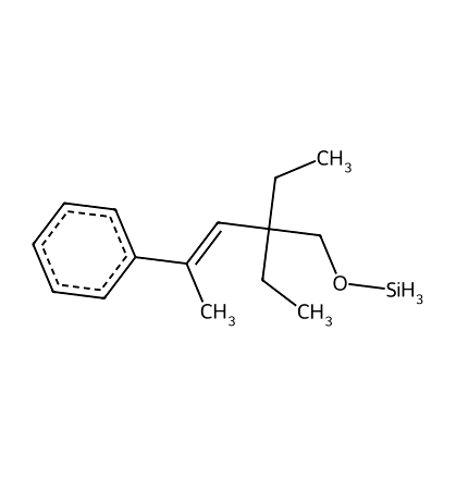 CCC(C=C(C)c1ccccc1)(CC)CO[SiH3]